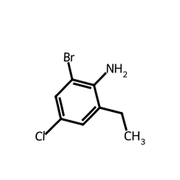 CCc1cc(Cl)cc(Br)c1N